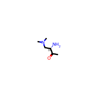 CC(=O)[C@@H](N)CN(C)C